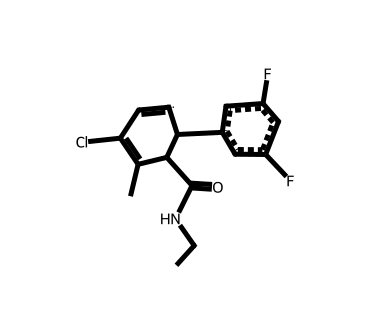 CCNC(=O)C1C(C)=C(Cl)C=[C]C1c1cc(F)cc(F)c1